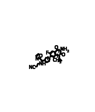 Cc1c(N2CCC(C(NCCC#N)c3ncco3)C2)c(F)cc2c(=O)n(N)c(=O)n(C3CC3)c12